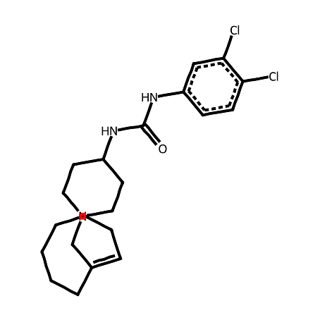 O=C(Nc1ccc(Cl)c(Cl)c1)NC1CCN(C/C2=C\CCCCCC2)CC1